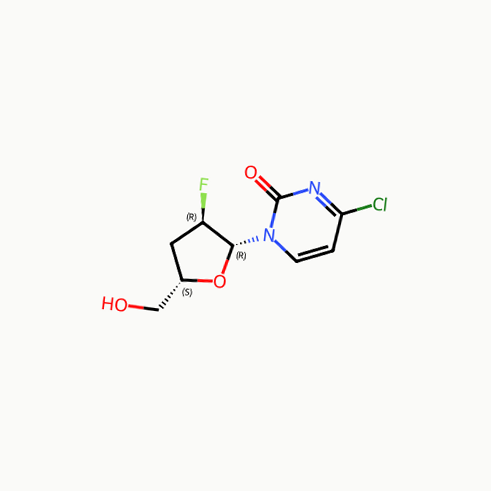 O=c1nc(Cl)ccn1[C@@H]1O[C@H](CO)C[C@H]1F